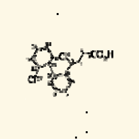 O=C(O)CCC(Cl)c1ccccc1-c1ccccc1Cl